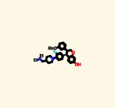 CCN(CC)CC1CCN(c2ccc([C@@H]3c4ccc(O)cc4OCC3c3cccc(OC)c3)cc2F)CC1